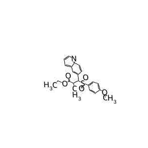 CCOC(=O)C(C)C(c1ccc2ncccc2c1)S(=O)(=O)c1ccc(OC)cc1